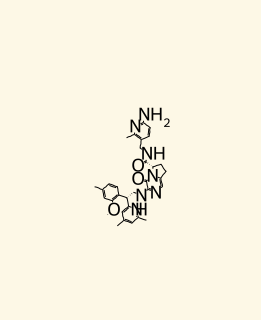 COc1cc(C)ccc1[C@H](CNc1ncc2n(c1=O)[C@H](C(=O)NCc1ccc(N)nc1C)CC2)c1cc(C)cc(C)n1